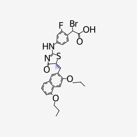 CCCOc1cc2c(OCCC)cccc2cc1/C=C1/SC(Nc2ccc(C(Br)C(=O)O)c(F)c2)=NC1=O